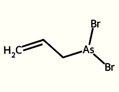 C=CC[As](Br)Br